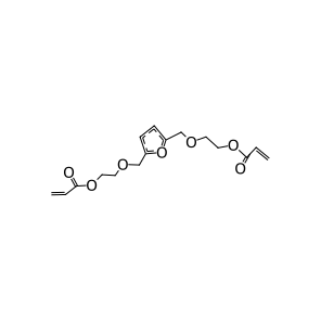 C=CC(=O)OCCOCc1ccc(COCCOC(=O)C=C)o1